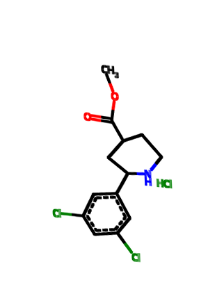 COC(=O)C1CCNC(c2cc(Cl)cc(Cl)c2)C1.Cl